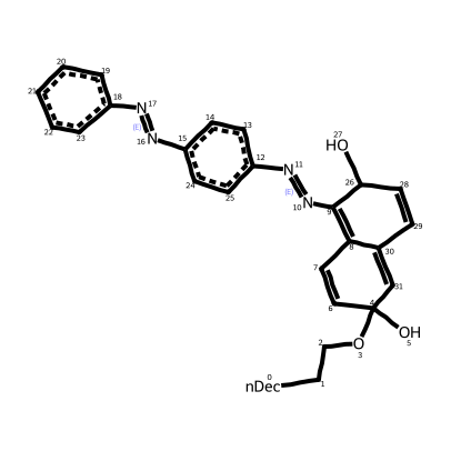 CCCCCCCCCCCCOC1(O)C=CC2=C(/N=N/c3ccc(/N=N/c4ccccc4)cc3)C(O)C=CC2=C1